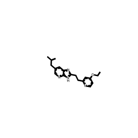 CCOc1ccnc(CCc2nc3cc(CC(C)C)cnc3[nH]2)c1